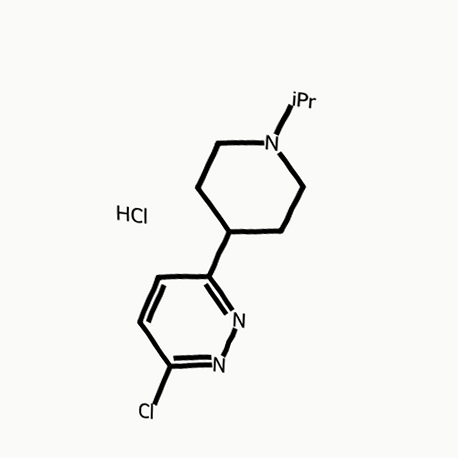 CC(C)N1CCC(c2ccc(Cl)nn2)CC1.Cl